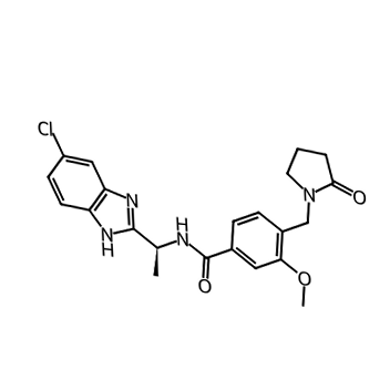 COc1cc(C(=O)N[C@@H](C)c2nc3cc(Cl)ccc3[nH]2)ccc1CN1CCCC1=O